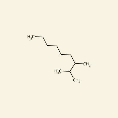 CCCC[CH]CC(C)C(C)C